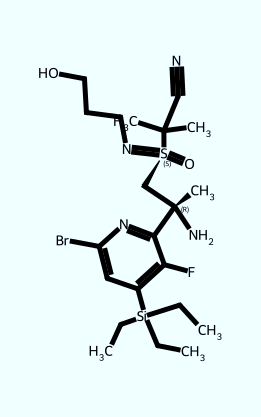 CC[Si](CC)(CC)c1cc(Br)nc([C@@](C)(N)C[S@@](=O)(=NCCCO)C(C)(C)C#N)c1F